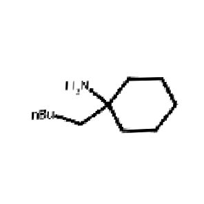 CCCCCC1(N)CCCCC1